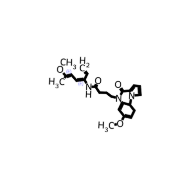 C=C/C(=C\C=C(/C)OC)NC(=O)CCCN1C(=O)c2cccn2C2CC=C(OC)C=C21